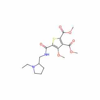 CCN1CCCC1CNC(=O)c1sc(C(=O)OC)c(C(=O)OC)c1OC